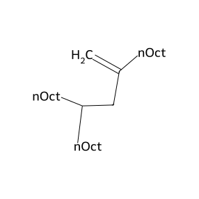 C=C(CCCCCCCC)CC(CCCCCCCC)CCCCCCCC